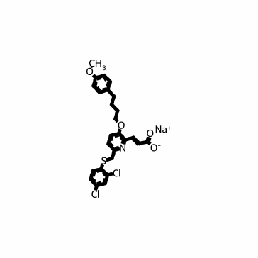 COc1ccc(CCCCOc2ccc(CSc3ccc(Cl)cc3Cl)nc2C=CC(=O)[O-])cc1.[Na+]